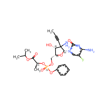 CC#CC1(N)[C@@H](O)[C@@H](CO[P@](=O)(Oc2ccccc2)O[C@@H](C)C(=O)OC(C)C)O[C@H]1n1cc(F)c(N)nc1=O